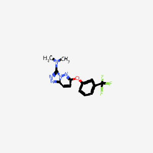 CN(C)c1nnc2ccc(Oc3cccc(C(F)(F)F)c3)nn12